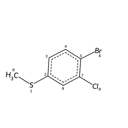 CSc1ccc(Br)c(Cl)c1